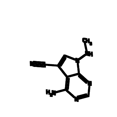 CNn1cc(C#N)c2c(N)ncnc21